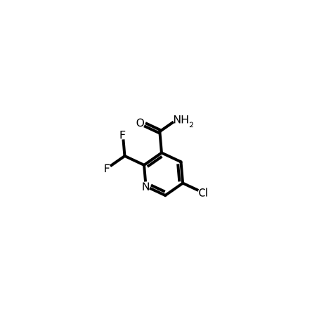 NC(=O)c1cc(Cl)cnc1C(F)F